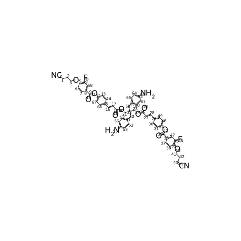 N#CCCCOc1ccc(C(=O)Oc2ccc(/C=C/C(=O)OCC(COC(=O)/C=C/c3ccc(OC(=O)c4ccc(OCCCC#N)c(F)c4)cc3)(Cc3ccc(N)cc3)Cc3ccc(N)cc3)cc2)cc1F